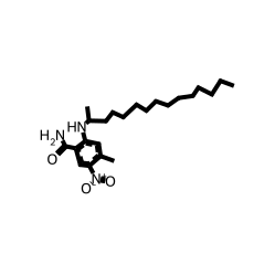 CCCCCCCCCCCCCC(C)Nc1cc(C)c([N+](=O)[O-])cc1C(N)=O